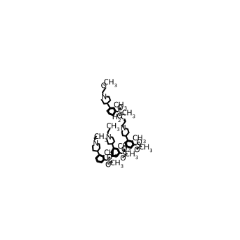 C=CCN1CCC(c2cccc(S(C)(=O)=O)c2C)CC1.CCCN1CCC(c2cccc(S(C)(=O)=O)c2C)CC1.CCN1CCC(c2cccc(S(C)(=O)=O)c2C)CC1.COCCN1CCC(c2cccc(S(C)(=O)=O)c2C)CC1